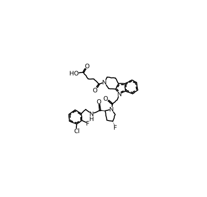 O=C(O)CCC(=O)N1CCc2c(n(CC(=O)N3C[C@H](F)C[C@H]3C(=O)NCc3cccc(Cl)c3F)c3ccccc23)C1